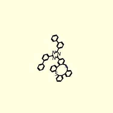 C1=C\c2ccc(-c3nc(-c4cccc(-c5ccccc5)c4)nc(-c4cccc(-c5ccccc5)c4)n3)cc2-c2ccccc2Sc2ccccc2-c2ccccc2/1